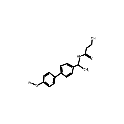 CCOc1ccc(-c2ccc(C(C)NC(=O)CCO)cc2)cc1